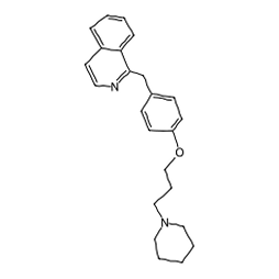 c1ccc2c(Cc3ccc(OCCCN4CCCCC4)cc3)nccc2c1